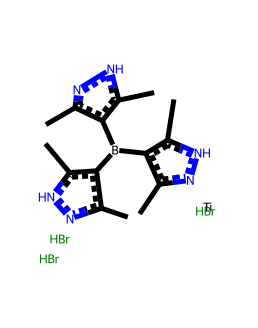 Br.Br.Br.Cc1n[nH]c(C)c1B(c1c(C)n[nH]c1C)c1c(C)n[nH]c1C.[Ti]